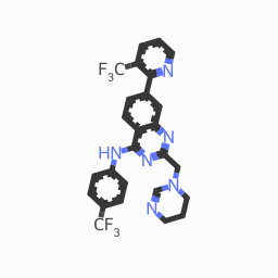 FC(F)(F)c1ccc(Nc2nc(CN3C=NCCC3)nc3cc(-c4ncccc4C(F)(F)F)ccc23)cc1